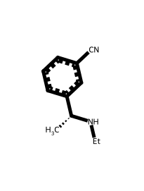 CCN[C@H](C)c1cccc(C#N)c1